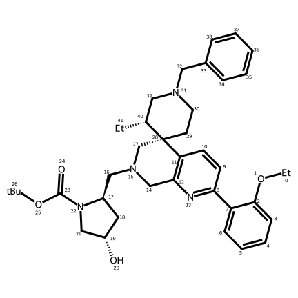 CCOc1ccccc1-c1ccc2c(n1)CN(C[C@H]1C[C@H](O)CN1C(=O)OC(C)(C)C)C[C@]21CCN(Cc2ccccc2)C[C@H]1CC